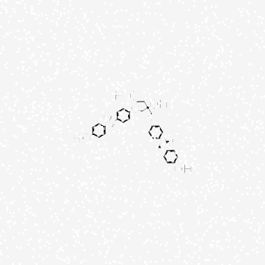 CCCC(O)(COc1ccc(S(=O)(=O)c2ccc(O)cc2)cc1)COc1ccc(S(=O)(=O)c2ccc(O)cc2)cc1